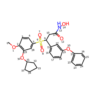 COc1ccc(S(=O)(=O)C(CC(=O)NO)c2cccc(Oc3ccccc3)c2)cc1OC1CCCC1